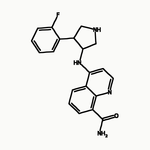 NC(=O)c1cccc2c(NC3CNCC3c3ccccc3F)ccnc12